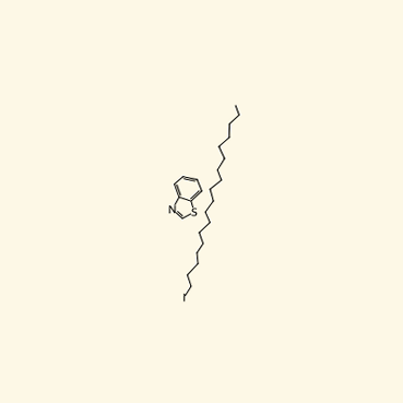 CCCCCCCCCCCCCCCCCCI.c1ccc2scnc2c1